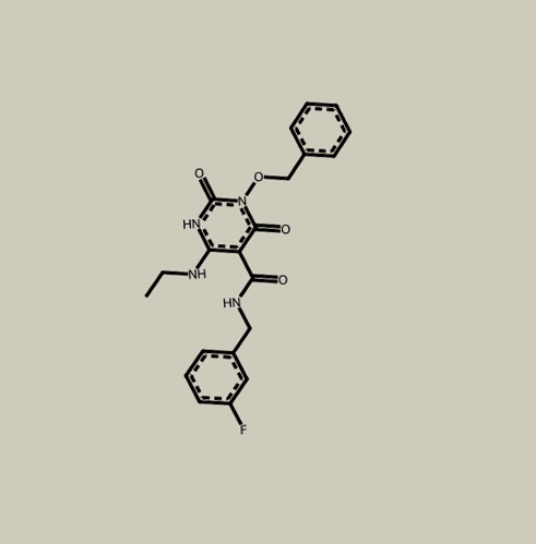 CCNc1[nH]c(=O)n(OCc2ccccc2)c(=O)c1C(=O)NCc1cccc(F)c1